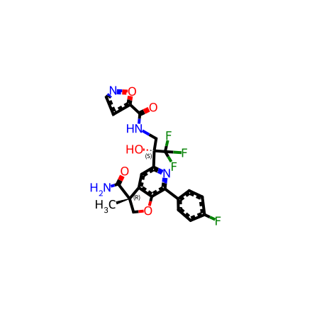 C[C@]1(C(N)=O)COc2c1cc([C@@](O)(CNC(=O)c1ccno1)C(F)(F)F)nc2-c1ccc(F)cc1